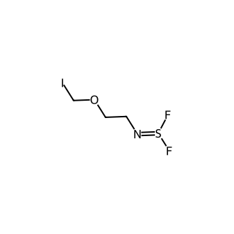 FS(F)=NCCOCI